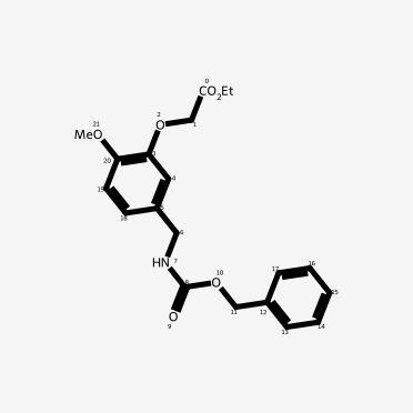 CCOC(=O)COc1cc(CNC(=O)OCc2ccccc2)ccc1OC